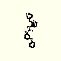 O=C(Nc1cccc(Sc2ccccc2)c1)NC1C2CCN(CC2)C1Cc1cccnc1